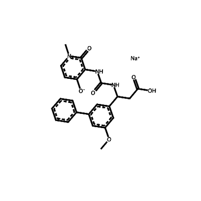 COc1cc(-c2ccccc2)cc(C(CC(=O)O)NC(=O)Nc2c([O-])ccn(C)c2=O)c1.[Na+]